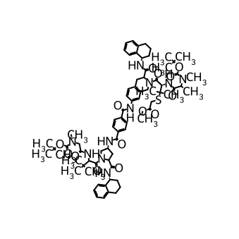 COC(=O)CSC(C)(C)[C@H](NC(=O)C(C)N(C)C(=O)OC(C)(C)C)C(=O)N1Cc2cc(NC(=O)c3ccc(C(=O)N[C@H]4CC(C(=O)N[C@@H]5CCCc6ccccc65)N(C(=O)C(NC(=O)CN(C)C(=O)OC(C)(C)C)C(C)(C)C)C4)cc3)ccc2CC1C(=O)N[C@@H]1CCCc2ccccc21